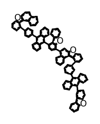 c1cc(-c2c3ccccc3c(-c3ccc4oc5ccccc5c4c3)c3ccccc23)cc(-c2cccc3oc4cc(-c5ccc(-c6c7ccccc7c(-c7ccc(-c8cccc9oc%10ccc%11ccccc%11c%10c89)cc7)c7ccccc67)c6c5oc5ccccc56)c5ccccc5c4c23)c1